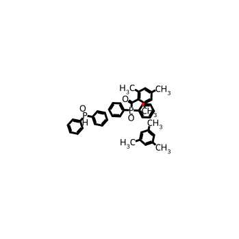 Cc1cc(C)c(C(=O)P(=O)(c2ccccc2)c2ccccc2)c(C)c1.Cc1cc(C)cc(C)c1.O=[PH](c1ccccc1)c1ccccc1